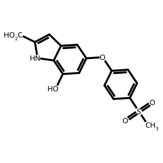 CS(=O)(=O)c1ccc(Oc2cc(O)c3[nH]c(C(=O)O)cc3c2)cc1